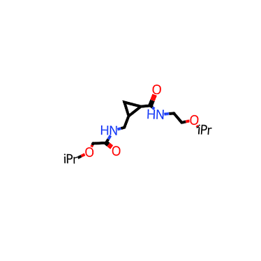 CC(C)OCCNC(=O)C1CC1CNC(=O)COC(C)C